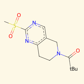 CC(C)(C)C(=O)N1CCc2nc(S(C)(=O)=O)ncc2C1